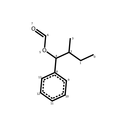 CCC(C)C(OC=O)c1ccccc1